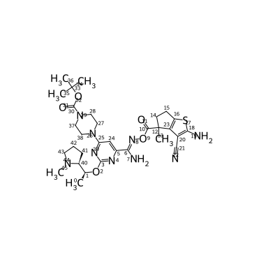 C[C@H](Oc1nc(/C(N)=N/OC(=O)C2(C)CCc3sc(N)c(C#N)c32)cc(N2CCN(C(=O)OC(C)(C)C)CC2)n1)[C@@H]1CCCN1C